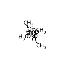 CCCCOC(=O)CC(CC(=O)OCCCC)(OC(=O)OC)C(=O)OC